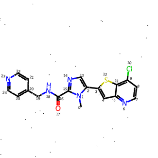 Cn1c(-c2cc3nccc(Cl)c3s2)cnc1C(=O)NCc1ccncc1